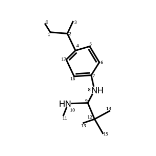 CCC(C)c1ccc(NC(NC)C(C)(C)C)cc1